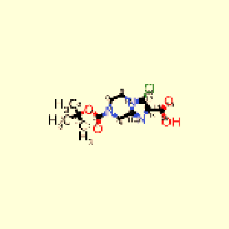 CC(C)(C)OC(=O)N1CCn2c(nc(C(=O)O)c2Cl)C1